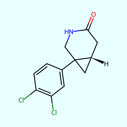 O=C1C[C@@H]2CC2(c2ccc(Cl)c(Cl)c2)CN1